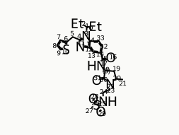 CCC(CC)n1c(Cc2cccs2)nc2cc(C(=O)N[C@H]3CC(C)N(CCNS(C)(=O)=O)C3=O)ccc21